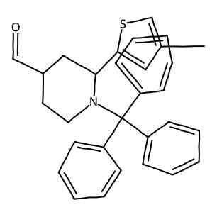 Cc1csc(C2CC(C=O)CCN2C(c2ccccc2)(c2ccccc2)c2ccccc2)c1